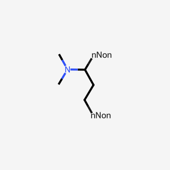 CCCCCCCCCCCC(CCCCCCCCC)N(C)C